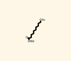 COC(=O)CCCCCCCCCOC(C)=O